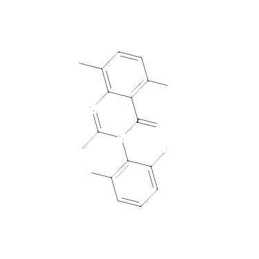 Cc1ccc(S)c2c(=O)n(-c3c(F)cccc3F)c(C)nc12